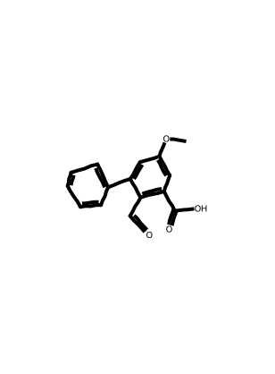 COc1cc(C(=O)O)c(C=O)c(-c2ccccc2)c1